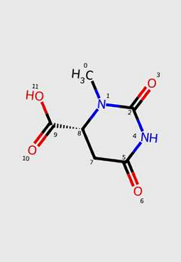 CN1C(=O)NC(=O)C[C@@H]1C(=O)O